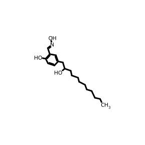 CCCCCCCCCCC(O)Cc1ccc(O)c(C=NO)c1